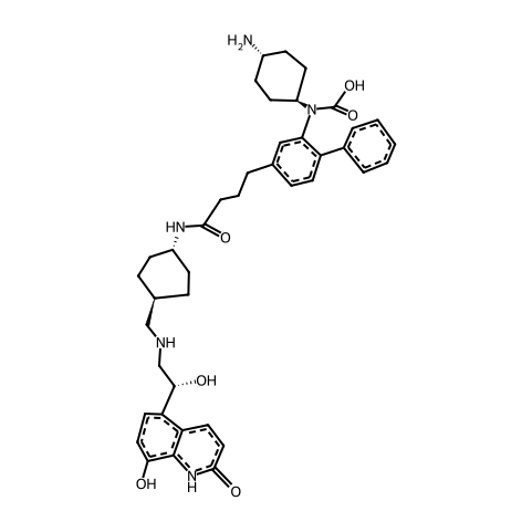 N[C@H]1CC[C@H](N(C(=O)O)c2cc(CCCC(=O)N[C@H]3CC[C@H](CNC[C@H](O)c4ccc(O)c5[nH]c(=O)ccc45)CC3)ccc2-c2ccccc2)CC1